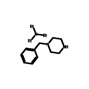 CCN(CC)CC.c1ccc(CN2CCNCC2)cc1